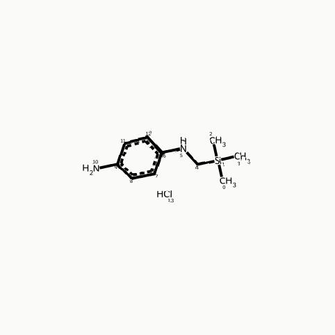 C[Si](C)(C)CNc1ccc(N)cc1.Cl